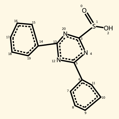 O=S(O)c1nc(-c2ccccc2)nc(-c2ccccc2)n1